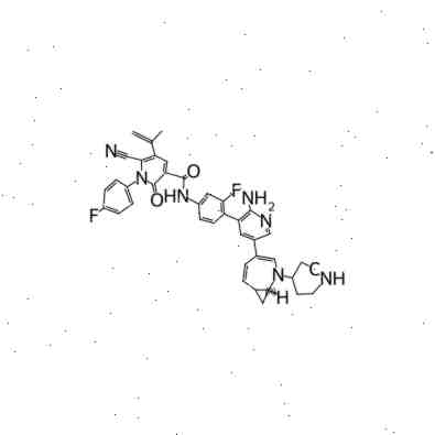 C=C(C)c1cc(C(=O)Nc2ccc(-c3cc(C4=CN(C5CCNCC5)[C@@H]5CC5C=C4)cnc3N)c(F)c2)c(=O)n(-c2ccc(F)cc2)c1C#N